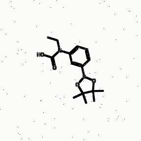 CCN(C(=O)O)c1cccc(B2OC(C)(C)C(C)(C)O2)c1